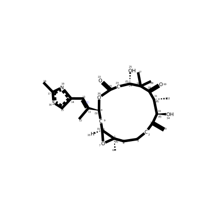 C=C1CCC[C@@]2(C)O[C@H]2C[C@@H](/C(C)=C/c2csc(C)n2)OC(=O)C[C@H](O)C(C)(C)C(=O)[C@H](C)[C@H]1O